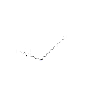 CCOC(=O)COCCCCCCC/C=C\CCCCNC(=O)C(=O)NC